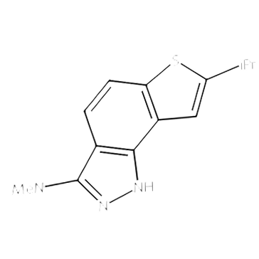 CNc1n[nH]c2c1ccc1sc(C(C)C)cc12